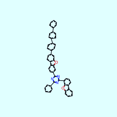 c1ccc(-c2ccc(-c3ccc(-c4ccc5c(c4)oc4cc(-c6nc(-c7ccccc7)nc(-c7cccc8c7oc7ccccc78)n6)ccc45)cc3)cc2)cc1